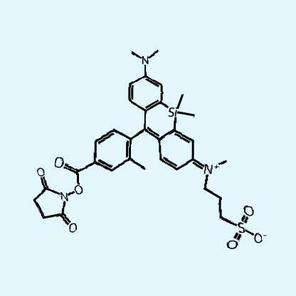 Cc1cc(C(=O)ON2C(=O)CCC2=O)ccc1C1=C2C=C/C(=[N+](/C)CCCS(=O)(=O)[O-])C=C2[Si](C)(C)c2cc(N(C)C)ccc21